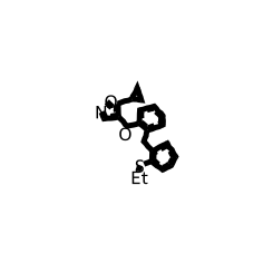 CCSc1ccccc1Cc1ccccc1C(=O)c1cnoc1C1CC1